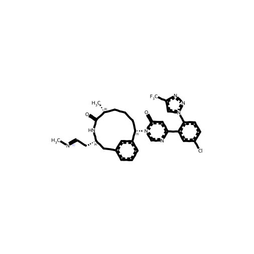 C/N=C/C[C@H]1Cc2cccc(c2)[C@@H](n2cnc(-c3cc(Cl)ccc3-n3cc(C(F)(F)F)nn3)cc2=O)CCC[C@@H](C)C(=O)N1